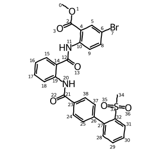 COC(=O)c1cc(Br)ccc1NC(=O)c1ccccc1NC(=O)c1ccc(-c2ccccc2S(C)(=O)=O)cc1